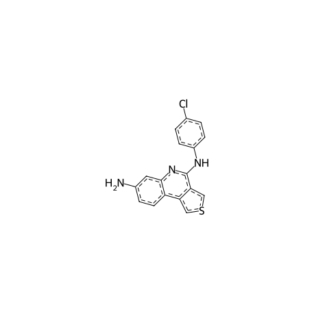 Nc1ccc2c(c1)nc(Nc1ccc(Cl)cc1)c1cscc12